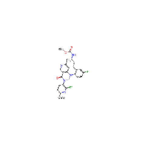 COc1ccc(N2CN(c3ccc(F)cc3CCCNC(=O)OC(C)(C)C)c3cc(C(F)(F)F)ncc3C2=O)c(Br)n1